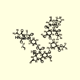 C=CCOC(=O)N[C@H](C(=O)N[C@@H](C)C(=O)Nc1ccc(COC(=O)N2c3cc(OCc4cc(COc5cc6c(cc5OC)C(=O)N5CC(=C)C[C@H]5[C@H](OC5CCCCO5)N6C(=O)OC(C)(C)C)cc(C(=O)OC(C)(C)C)c4)c(OC)cc3C(=O)N3CC(=C)C[C@H]3[C@@H]2O)cc1)C(C)C